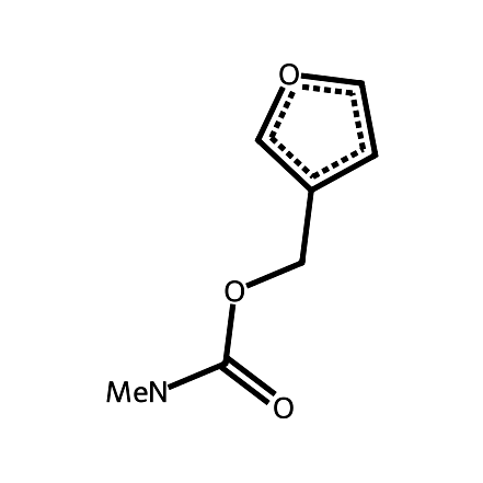 CNC(=O)OCc1ccoc1